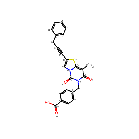 Cc1c(=O)n(Cc2ccc(C(=O)O)cc2)c(=O)n2cc(C#CCc3ccccc3)sc12